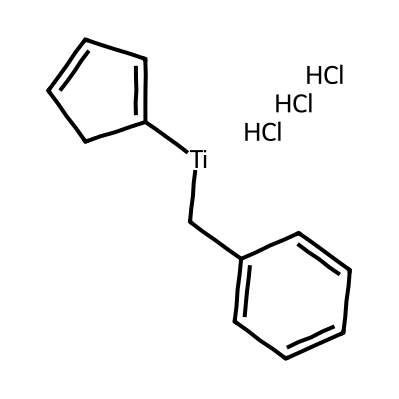 C1=CC[C]([Ti][CH2]c2ccccc2)=C1.Cl.Cl.Cl